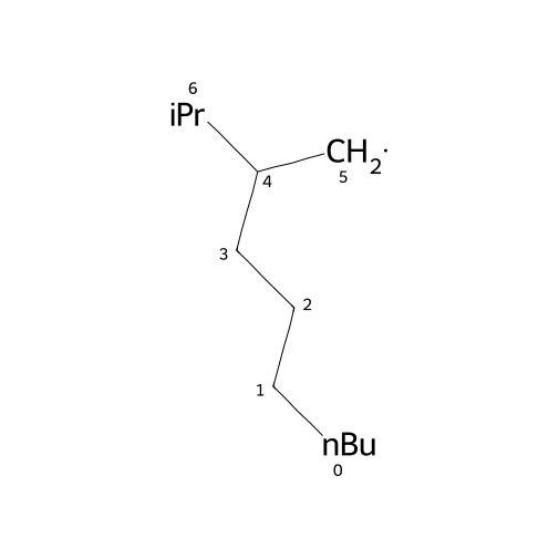 [CH2]CCCCCCC([CH2])C(C)C